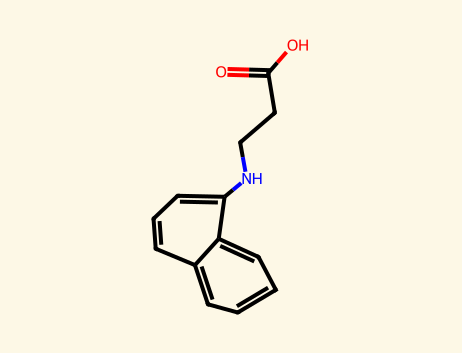 O=C(O)CCNc1cccc2ccccc12